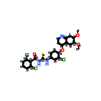 COc1cc2nccc(Oc3ccc(NC(=S)NC(=O)c4c(Cl)cccc4Cl)cc3Cl)c2cc1OC